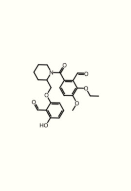 CCOc1c(OC)ccc(C(=O)N2CCCCC2COc2cccc(O)c2C=O)c1C=O